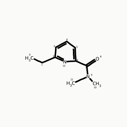 CCc1cccc(C(=O)N(C)C)n1